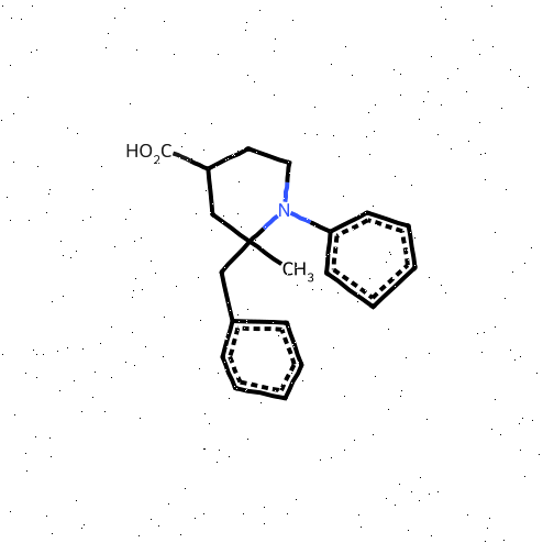 CC1(Cc2ccccc2)CC(C(=O)O)CCN1c1ccccc1